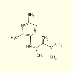 Bc1ccc(NC(C)C(=C)N(C)C)c(C)n1